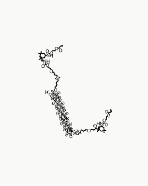 C=CC(=O)OCCOC(=O)NC1CC(C)(C)CC(C)(CNC(=O)OCCOCCC[Si](C)(C)CCCCO[SiH2][Si](=O)[Si](=O)[Si](=O)[Si](=O)[Si](=O)[Si](=O)[Si](=O)[Si](=O)[Si](=O)[Si](=O)[Si](=O)[Si](=O)[Si](=O)[Si](=O)[Si](=O)[Si](=O)[Si](=O)[Si](=O)[Si](=O)[Si](=O)[Si](=O)[Si](=O)[Si](=O)[Si](=O)[Si](=O)[Si](C)(C)O[Si](C)(C)CCCOCCC(=O)C2(C)CC(NC(=O)OCCOC(=O)C=C)CC(C)(C)C2)C1